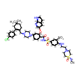 CC1(C)CCC(CN2CCN(c3ccc(C(=O)NS(=O)(=O)c4ccc(NCCN5CCS(=O)(=NC#N)CC5)c([N+](=O)[O-])c4)c(Oc4cnc5[nH]ccc5c4)c3)CC2)=C(c2ccc(Cl)cc2)C1